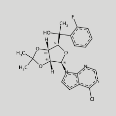 CC1(C)O[C@@H]2[C@H](O1)[C@@H](C(C)(O)c1ccccc1F)O[C@H]2n1ccc2c(Cl)ncnc21